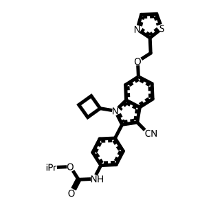 CC(C)OC(=O)Nc1ccc(-c2c(C#N)c3ccc(OCc4nccs4)cc3n2C2CCC2)cc1